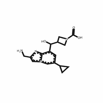 NCc1cn2cc(C3CC3)cc(C(O)C3CN(C(=O)O)C3)c2n1